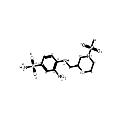 CS(=O)(=O)N1CCOC(CNc2ccc(S(N)(=O)=O)cc2[N+](=O)[O-])C1